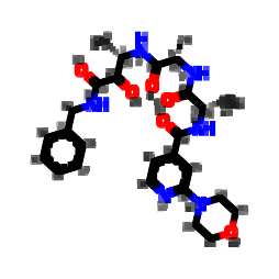 CC(C)[C@H](NC(=O)[C@H](C)NC(=O)[C@@H](NC(=O)c1ccnc(N2CCOCC2)c1)C(C)(C)C)C(=O)C(=O)NCc1ccccc1